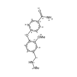 CCCCNCc1ccc(Oc2ccc(C(N)=O)cn2)c(OC)c1